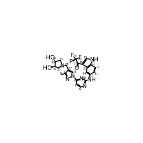 Cc1nn(-c2ccnc(Nc3ccc4[nH]cc(C(=O)C(F)(F)F)c4c3)n2)cc1CN1C[C@@H](O)[C@@H](O)C1